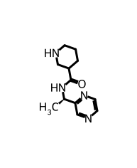 C[C@@H](NC(=O)C1CCCNC1)c1cnccn1